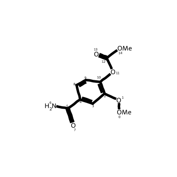 COOc1cc(C(N)=O)ccc1OC(=O)OC